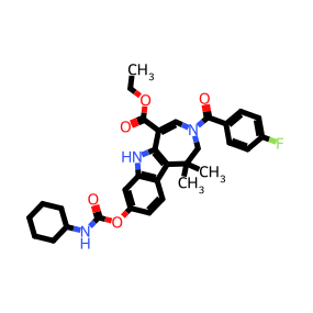 CCOC(=O)C1=CN(C(=O)c2ccc(F)cc2)CC(C)(C)c2c1[nH]c1cc(OC(=O)NC3CCCCC3)ccc21